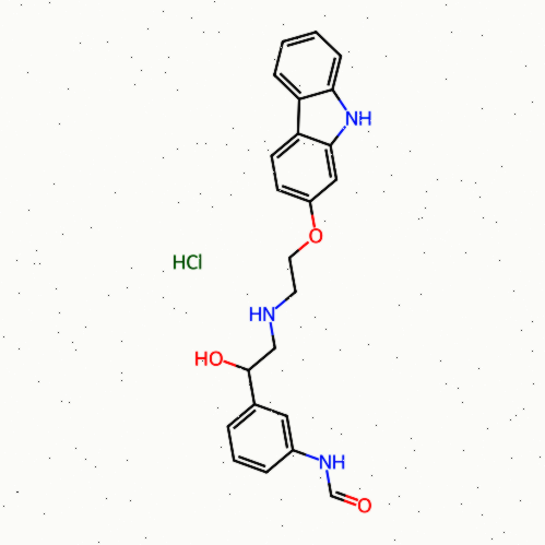 Cl.O=CNc1cccc(C(O)CNCCOc2ccc3c(c2)[nH]c2ccccc23)c1